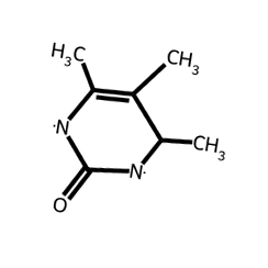 CC1=C(C)C(C)[N]C(=O)[N]1